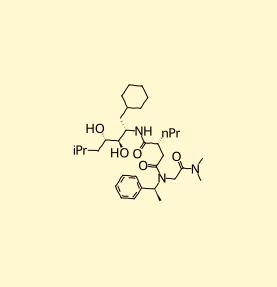 CCC[C@H](CC(=O)N(CC(=O)N(C)C)[C@@H](C)c1ccccc1)C(=O)N[C@@H](CC1CCCCC1)[C@@H](O)[C@@H](O)CC(C)C